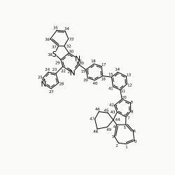 C1=CCC=C2C(=C1)c1ccc(-c3cccc(-c4ccc(-c5nc(-c6ccncc6)c6c(n5)C5CC=CC=C5S6)cc4)c3)cc1C21CCCCC1